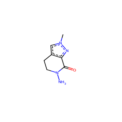 Cn1cc2c(n1)C(=O)N(N)CC2